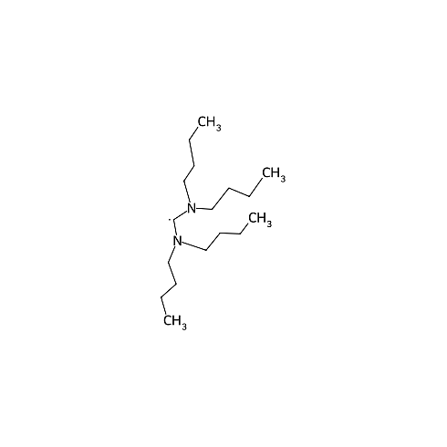 CCCCN([CH]N(CCCC)CCCC)CCCC